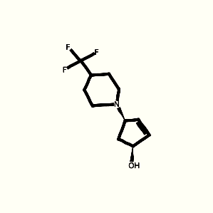 O[C@@H]1C=C[C@H](N2CCC(C(F)(F)F)CC2)C1